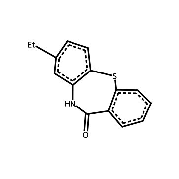 CCc1ccc2c(c1)NC(=O)c1ccccc1S2